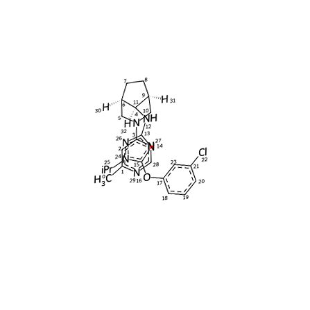 Cc1cc(N2C[C@H]3CC[C@@H](C2)[C@H]3Nc2nc(Oc3cccc(Cl)c3)n(C(C)C)n2)ncn1